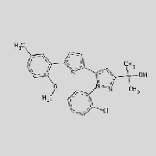 COc1ccc(C)cc1-c1ccc(-c2cc(C(C)(C)O)nn2-c2ccccc2Cl)s1